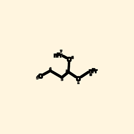 CCCOC(CC[O])OCCC